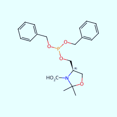 CC1(C)OC[C@H](COP(OCc2ccccc2)OCc2ccccc2)N1C(=O)O